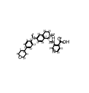 CN(c1ccc(C2CCOCC2)cc1)c1ccc2c(c1)CCN(C)[C@@H]2CNc1cnccc1C(=O)O